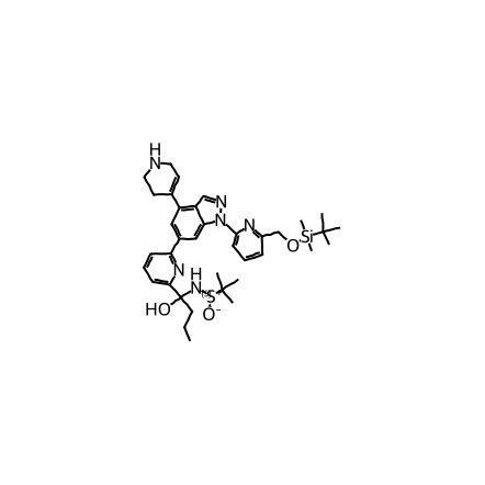 CCCC(O)(N[S@+]([O-])C(C)(C)C)c1cccc(-c2cc(C3=CCNCC3)c3cnn(-c4cccc(CO[Si](C)(C)C(C)(C)C)n4)c3c2)n1